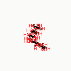 OB(O)O.OC[C@@H](O)[C@@H](O)CO.OC[C@@H](O)[C@@H](O)CO.OC[C@@H](O)[C@@H](O)CO.OC[C@@H](O)[C@@H](O)CO.OC[C@@H](O)[C@@H](O)CO